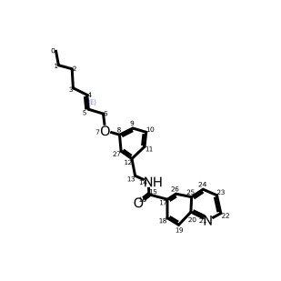 CCCC/C=C/COc1cccc(CNC(=O)c2ccc3ncccc3c2)c1